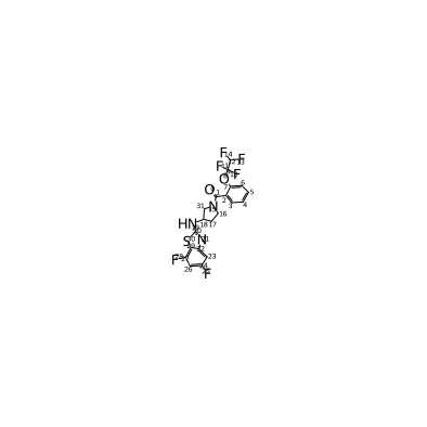 O=C(c1ccccc1OC(F)(F)C(F)F)N1CCC(Nc2nc3cc(F)cc(F)c3s2)C1